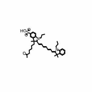 CCCN1\C(=C/C=C/C=C/C=C/C2=[N+](CCC)c3ccc(S(=O)(=O)O)cc3C2(C)CCCCCC(C)=O)C(C)(C)c2ccccc21